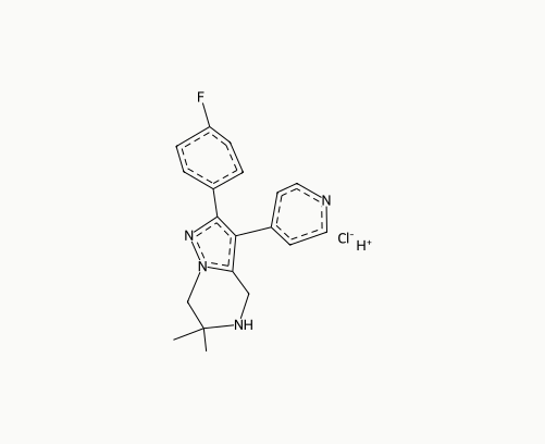 CC1(C)Cn2nc(-c3ccc(F)cc3)c(-c3ccncc3)c2CN1.[Cl-].[H+]